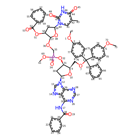 COc1ccc(C(OC[C@H]2O[C@@H](n3cnc4c(NC(=O)c5ccccc5)ncnc43)C[C@H]2OP(=O)(COC2OC(n3cc(C)c(=O)[nH]c3=O)CC2OC(=O)c2ccccc2)OC)(c2ccccc2)c2ccc(OC)cc2)cc1